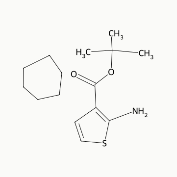 C1CCCCC1.CC(C)(C)OC(=O)c1ccsc1N